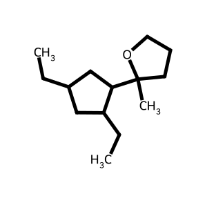 CCC1CC(CC)C(C2(C)CCCO2)C1